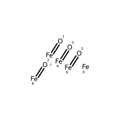 [Fe].[O]=[Fe].[O]=[Fe].[O]=[Fe].[O]=[Fe]